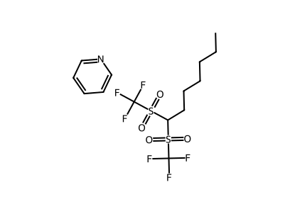 CCCCCCC(S(=O)(=O)C(F)(F)F)S(=O)(=O)C(F)(F)F.c1ccncc1